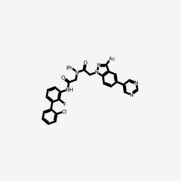 CC(=O)c1nn(CC(=O)N(CC(=O)Nc2cccc(-c3ccccc3Cl)c2F)C(C)C)c2ccc(-c3cncnc3)cc12